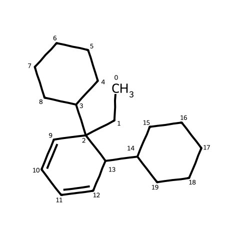 CCC1(C2CCCCC2)C=CC=CC1C1CCCCC1